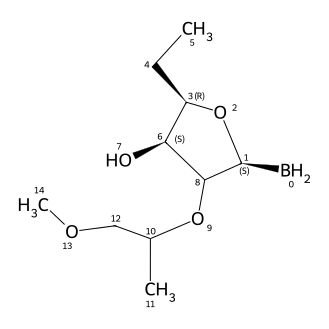 B[C@@H]1O[C@H](CC)[C@H](O)C1OC(C)COC